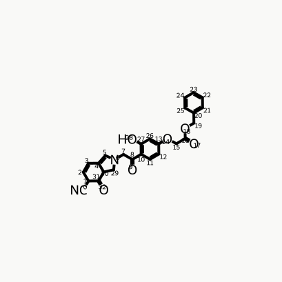 N#CC1C=CC2=CN(CC(=O)c3ccc(OCC(=O)OCc4ccccc4)cc3O)CC2C1=O